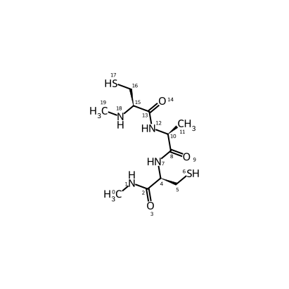 CNC(=O)[C@H](CS)NC(=O)[C@H](C)NC(=O)[C@H](CS)NC